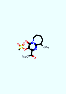 CNC1CCCCn2c1nc(C(=O)OC)c(OS(C)(=O)=O)c2=O